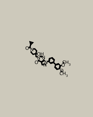 COc1ccc(-c2cccc(-n3ncc4c(=O)n(CC5(O)CCN(C(=O)C6CC6)CC5)cnc43)c2)cc1OC